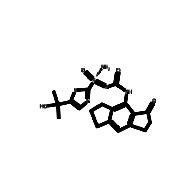 CC(C)(O)c1cnc([S@@](N)(=O)=NC(=O)Nc2c3c(cc4c2C(=O)CC4)CCC3)s1